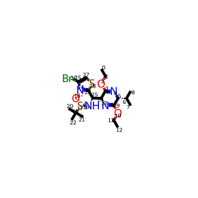 CCOC1=N[C@H](C(C)C)C(OCC)=N[C@H]1[C@H](N[S@@+]([O-])C(C)(C)C)c1nc(Br)cs1